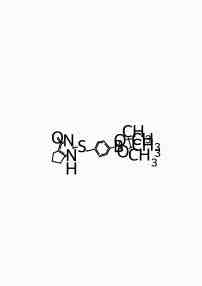 CC1(C)OB(c2ccc(CSc3nc(=O)c4c([nH]3)CCC4)cc2)OC1(C)C